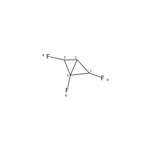 FC1C2C(F)C12F